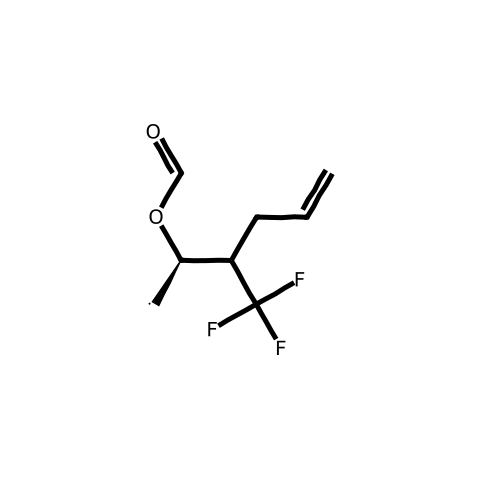 [CH2][C@@H](OC=O)C(CC=C)C(F)(F)F